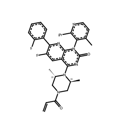 C=CC(=O)N1C[C@H](C)N(c2nc(=O)n(-c3c(C)ccnc3C(C)C)c3nc(-c4ccccc4F)c(F)cc23)[C@@H](C)C1